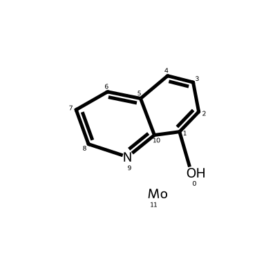 Oc1cccc2cccnc12.[Mo]